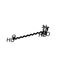 [2H]C(C)C[C@H](NC(=O)CCCCCCCCCCCCCCCCC(=O)O)C(=O)O